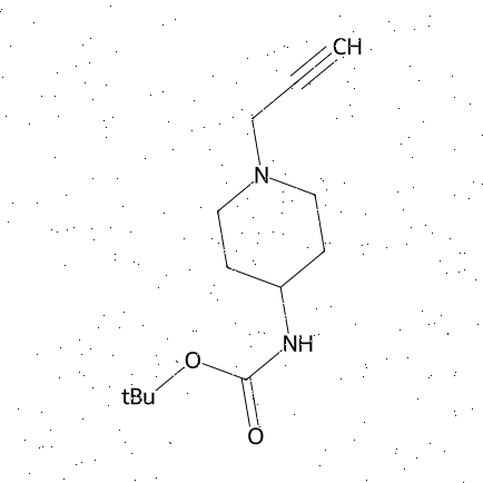 C#CCN1CCC(NC(=O)OC(C)(C)C)CC1